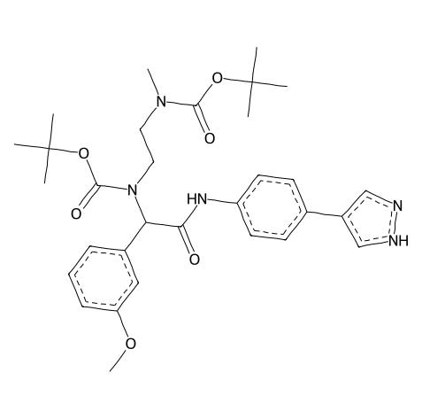 COc1cccc(C(C(=O)Nc2ccc(-c3cn[nH]c3)cc2)N(CCN(C)C(=O)OC(C)(C)C)C(=O)OC(C)(C)C)c1